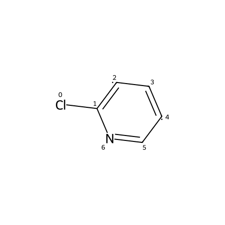 Clc1[c]c[c]cn1